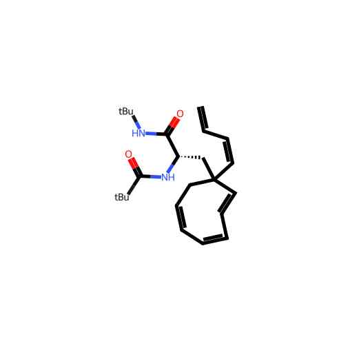 C=C/C=C\C1(C[C@H](NC(=O)C(C)(C)C)C(=O)NC(C)(C)C)/C=C/C=C\C=C/C1